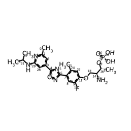 Cc1cc(-c2nc(-c3cc(F)c(OC[C@H](N)[C@@H](C)OP(=O)(O)O)cc3C)no2)cc(NC(C)C)n1